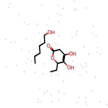 CCC1OC(=O)CC(O)=C1O.CCCCCCO